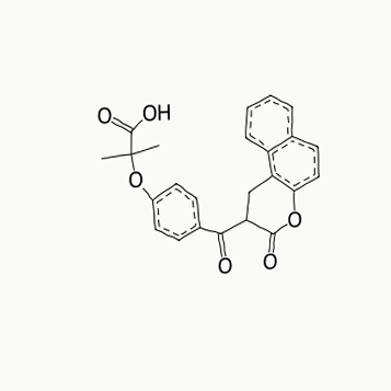 CC(C)(Oc1ccc(C(=O)C2Cc3c(ccc4ccccc34)OC2=O)cc1)C(=O)O